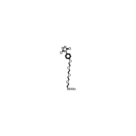 CC(=O)NCCOCCOCCOCCOc1ccc(N2C(=O)N=NC2=O)cc1